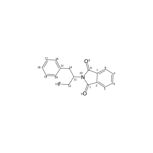 O=C1c2ccccc2C(=O)N1C(CF)Cc1ccccc1